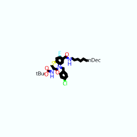 CCCCCCCCCCCCCCCCNC(=O)c1cc2c(cc1F)SC[C@H](NC(=O)OC(C)(C)C)C(=O)N2Cc1ccc(Cl)cc1